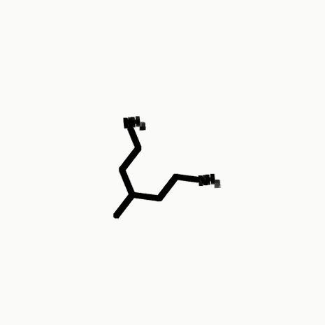 CC(CCN)CCN